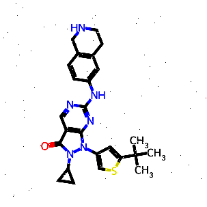 CC(C)(C)c1cc(-n2c3nc(Nc4ccc5c(c4)CCNC5)ncc3c(=O)n2C2CC2)cs1